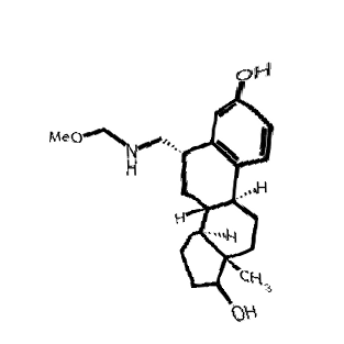 COCNC[C@H]1C[C@@H]2[C@H](CC[C@]3(C)C(O)CC[C@@H]23)c2ccc(O)cc21